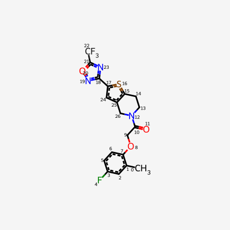 Cc1cc(F)ccc1OCC(=O)N1CCc2sc(-c3noc(C(F)(F)F)n3)cc2C1